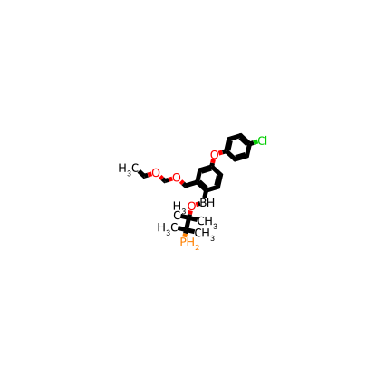 CCOCOCc1cc(Oc2ccc(Cl)cc2)ccc1BOC(C)(C)C(C)(C)P